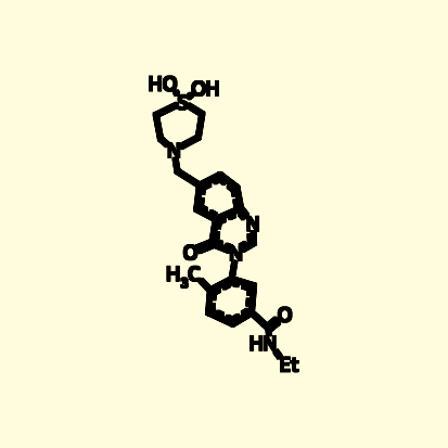 CCNC(=O)c1ccc(C)c(-n2cnc3ccc(CN4CCS(O)(O)CC4)cc3c2=O)c1